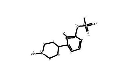 CCCN1CCC(c2cccc(OS(C)(=O)=O)c2C)CC1